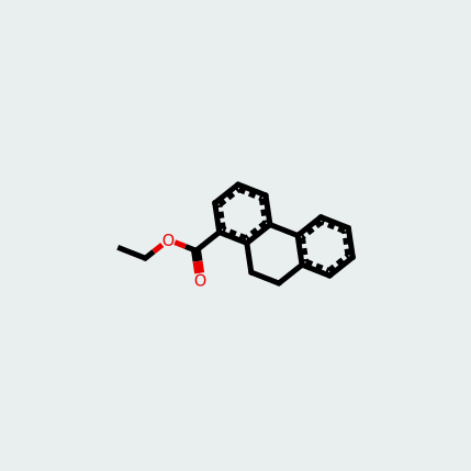 CCOC(=O)c1cccc2c1CCc1ccccc1-2